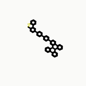 c1ccc2c(c1)SCc1ccc(-c3ccc(-c4ccc(-c5ccc6c(c5)C5c7ccccc7-c7ccccc7C5c5ccccc5-6)cc4)cc3)cc1-2